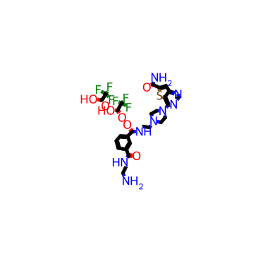 NCCNC(=O)c1cccc(C(=O)NCCN2CCN(c3ncnc4cc(C(N)=O)sc34)CC2)c1.O=C(O)C(F)(F)F.O=C(O)C(F)(F)F